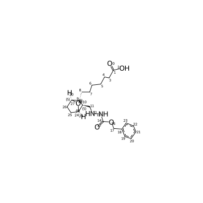 O=C(O)CCCCCC[C@@H]1[C@@H](CNNC(=O)OCc2ccccc2)[C@H]2CC[C@@H]1O2